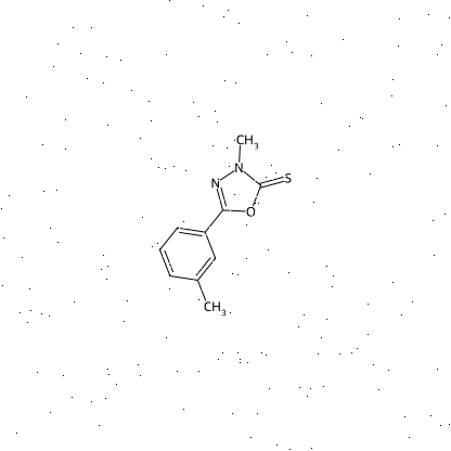 Cc1cccc(-c2nn(C)c(=S)o2)c1